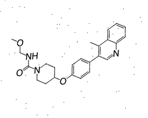 COCNC(=O)N1CCC(Oc2ccc(-c3cnc4ccccc4c3C)cc2)CC1